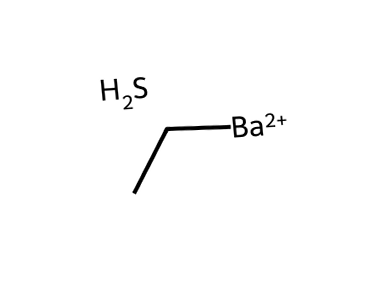 C[CH2][Ba+2].S